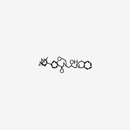 Cc1nn(C)cc1-c1ccc2c(c1)OCCN(CC(O)CN1CCc3ccccc3C1)C2=O